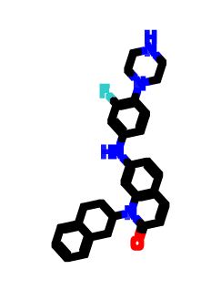 O=c1ccc2ccc(Nc3ccc(N4CCNCC4)c(F)c3)cc2n1C1CCc2ccccc2C1